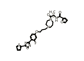 C[C@H](NC(=O)c1ccco1)C(=O)N1CCCN(CCCOc2ccc(-c3noc(-c4cccs4)n3)c(F)c2)CC1